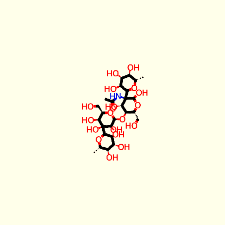 CC(=O)N[C@@]1(C2O[C@@H](C)[C@@H](O)[C@@H](O)[C@@H]2O)C(O)O[C@H](CO)[C@@H](O[C@@H]2O[C@H](CO)[C@H](O)[C@@](O)(C3O[C@@H](C)[C@@H](O)[C@@H](O)[C@@H]3O)[C@H]2O)[C@@H]1O